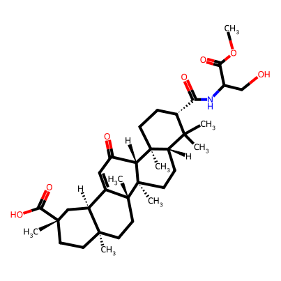 COC(=O)C(CO)NC(=O)[C@H]1CC[C@]2(C)[C@H]3C(=O)C=C4[C@@H]5C[C@@](C)(C(=O)O)CC[C@]5(C)CC[C@@]4(C)[C@]3(C)CC[C@H]2C1(C)C